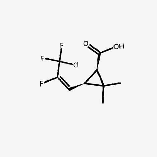 CC1(C)[C@H](C(=O)O)[C@@H]1/C=C(/F)C(F)(F)Cl